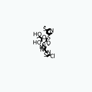 CO[C@@H](Cn1cc(-c2nc(Cl)cs2)nn1)C(OC(CO)[C@@H](C)O)Sc1cncc(SC)c1